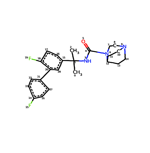 CC(C)(NC(=O)N1CCN2CCC1CC2)c1ccc(F)c(-c2ccc(F)cc2)c1